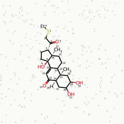 CCSCC(=O)[C@H]1CC[C@@]2(O)C3=CC(=O)[C@@H]4CC(O)C(O)C[C@]4(C)C3CC[C@]12C